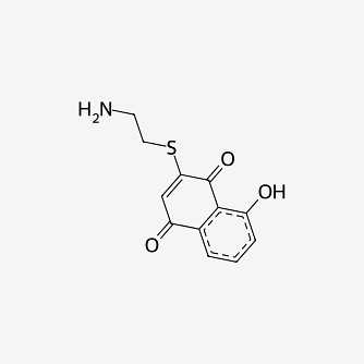 NCCSC1=CC(=O)c2cccc(O)c2C1=O